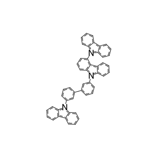 c1cc(-c2cccc(-n3c4ccccc4c4c(-n5c6ccccc6c6ccccc65)cccc43)c2)cc(-n2c3ccccc3c3ccccc32)c1